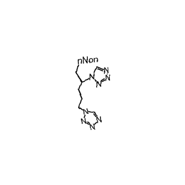 CCCCCCCCCCC(CCCn1cnnn1)n1cnnn1